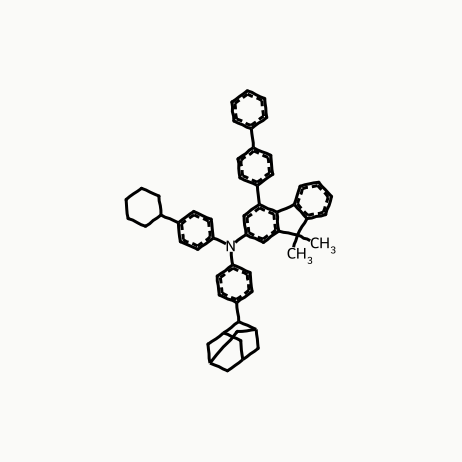 CC1(C)c2ccccc2-c2c(-c3ccc(-c4ccccc4)cc3)cc(N(c3ccc(C4CCCCC4)cc3)c3ccc(C4C5CC6CC(C5)CC4C6)cc3)cc21